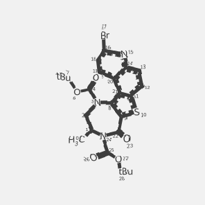 CC1CN(C(=O)OC(C)(C)C)c2c(sc3ccc4nc(Br)ccc4c23)C(=O)N1C(=O)OC(C)(C)C